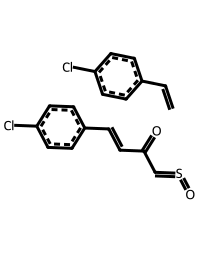 C=Cc1ccc(Cl)cc1.O=S=CC(=O)C=Cc1ccc(Cl)cc1